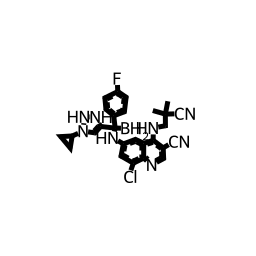 BC(Nc1cc(Cl)c2ncc(C#N)c(NCC(C)(C)C#N)c2c1)(C1=CN(C2CC2)NN1)c1ccc(F)cc1